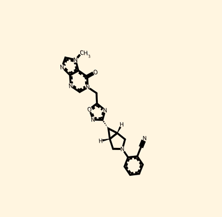 Cn1cnc2ncn(Cc3nc([C@@H]4[C@@H]5CN(c6ccccc6C#N)C[C@@H]54)no3)c(=O)c21